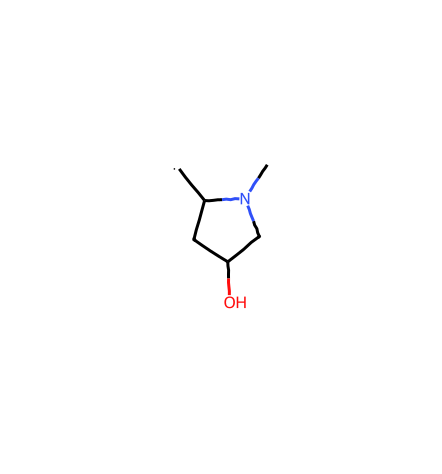 [CH2]C1CC(O)CN1C